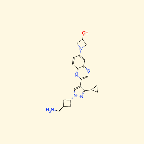 NC[C@H]1C[C@H](n2cc(-c3cnc4cc(N5CC(O)C5)ccc4n3)c(C3CC3)n2)C1